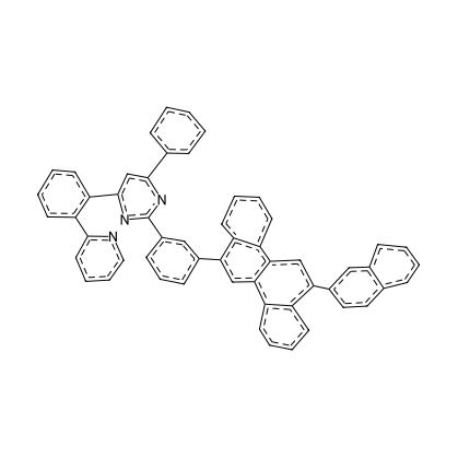 c1ccc(-c2cc(-c3ccccc3-c3ccccn3)nc(-c3cccc(-c4cc5c6ccccc6c(-c6ccc7ccccc7c6)cc5c5ccccc45)c3)n2)cc1